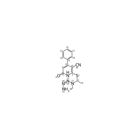 CC(Sc1[nH]c(=O)cc(-c2ccccc2)c1C#N)N(C)/N=N\N